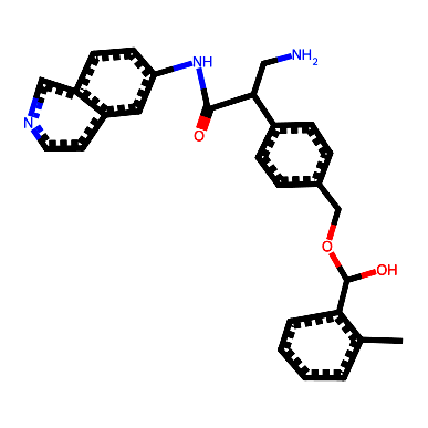 Cc1ccccc1C(O)OCc1ccc(C(CN)C(=O)Nc2ccc3cnccc3c2)cc1